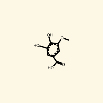 COc1cc(C(=O)O)cc(O)c1O